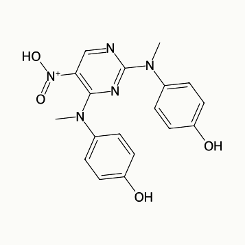 CN(c1ccc(O)cc1)c1ncc([N+](=O)O)c(N(C)c2ccc(O)cc2)n1